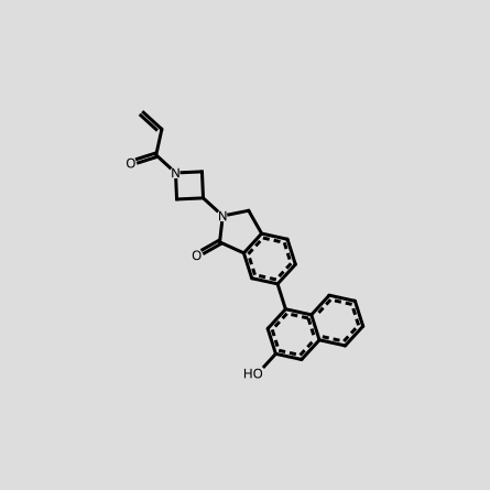 C=CC(=O)N1CC(N2Cc3ccc(-c4cc(O)cc5ccccc45)cc3C2=O)C1